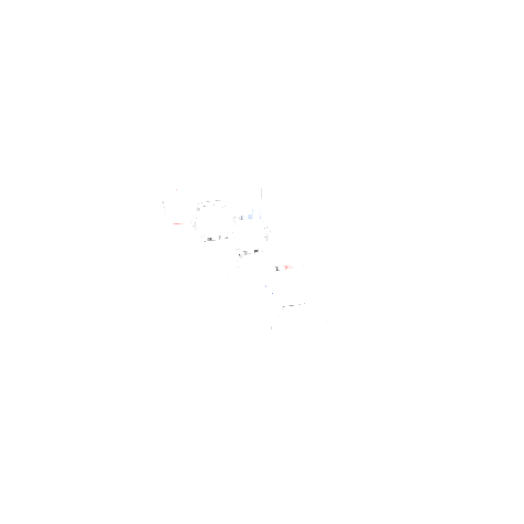 CCOC(=O)CC(C)NC(=O)c1cn(CC)c2cc3c(cc2c1=O)OCO3